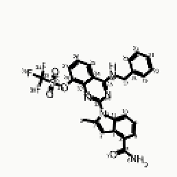 Cc1cc2c(C(N)=O)cccc2n1-c1nc(NCc2ccccc2)c2cccc(OS(=O)(=O)C(F)(F)F)c2n1